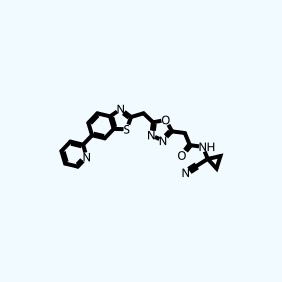 N#CC1(NC(=O)Cc2nnc(Cc3nc4ccc(-c5ccccn5)cc4s3)o2)CC1